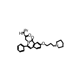 CC(C)NC(=O)Cn1c(-c2ccccc2)cc2ccc(OCCCN3CCCCC3)cc2c1=O